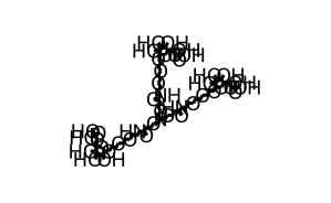 O=C(CCOCN(COCCC(=O)NCCOCCOCCOC1OC(COP(=O)(O)O)C(O)C(O)C1O)COCCC(=O)NCCOCCOCCOC1OC(COP(=O)(O)O)C(O)C(O)C1O)NCCOCCOCCOC1OC(COP(=O)(O)O)C(O)C(O)C1O